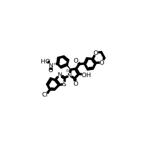 O=C(C1=C(O)C(=O)N(c2nc3ccc(Cl)cc3s2)[C@H]1c1cccc([N+](=O)O)c1)c1ccc2c(c1)OCCO2